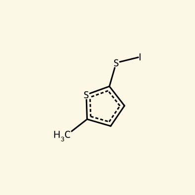 Cc1ccc(SI)s1